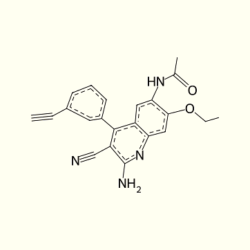 C#Cc1cccc(-c2c(C#N)c(N)nc3cc(OCC)c(NC(C)=O)cc23)c1